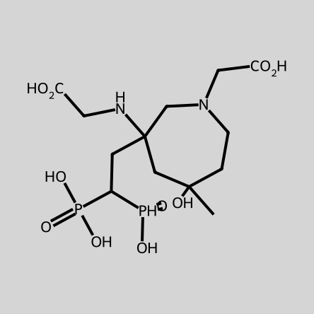 CC1(O)CCN(CC(=O)O)CC(CC([PH](=O)O)P(=O)(O)O)(NCC(=O)O)C1